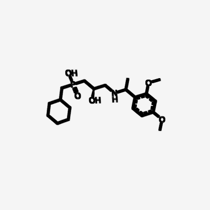 COc1ccc(C(C)NC[C@@H](O)CP(=O)(O)CC2CCCCC2)c(OC)c1